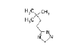 CC(C)(C)CCC1=NCN=N1